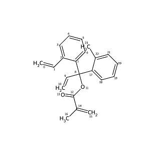 C=Cc1ccccc1C(C=C)(OC(=O)C(=C)C)c1ccccc1C